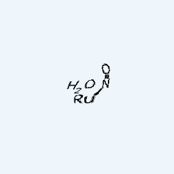 O.O=[N][Ru]